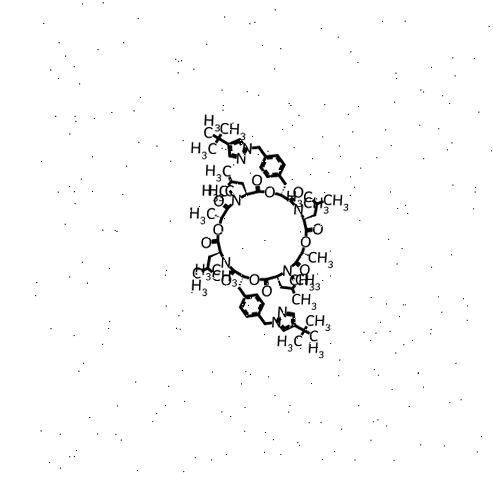 CC(C)C[C@H]1C(=O)O[C@H](Cc2ccc(Cn3cc(C(C)(C)C)cn3)cc2)C(=O)N(C)[C@@H](CC(C)C)C(=O)O[C@H](C)C(=O)N(C)[C@@H](CC(C)C)C(=O)O[C@H](Cc2ccc(Cn3cc(C(C)(C)C)cn3)cc2)C(=O)N(C)[C@@H](CC(C)C)C(=O)O[C@H](C)C(=O)N1C